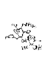 CC(=O)NC1C(O[C@H]2CC(O)[C@@H](O)C(C)O2)[C@H](O)C(CO)O[C@H]1O